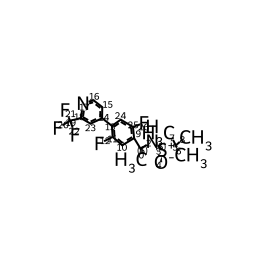 C[C@H](N[S@+]([O-])C(C)(C)C)c1cc(F)c(-c2ccnc(C(F)(F)F)c2)cc1F